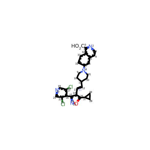 O=C(O)c1nccc2cc(N3CCC(/C=C/c4c(-c5c(Cl)cncc5Cl)noc4C4CC4)CC3)ccc12